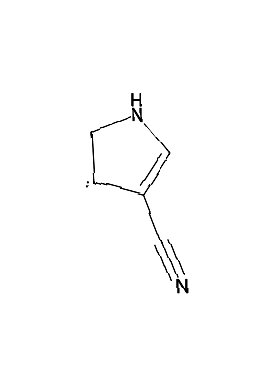 N#CC1=CNC[C]1